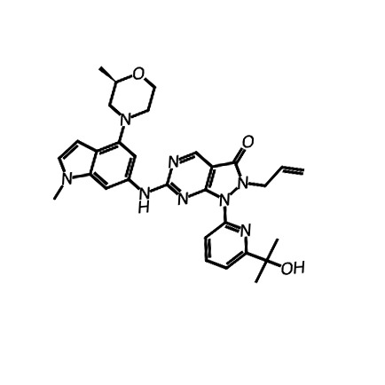 C=CCn1c(=O)c2cnc(Nc3cc(N4CCO[C@H](C)C4)c4ccn(C)c4c3)nc2n1-c1cccc(C(C)(C)O)n1